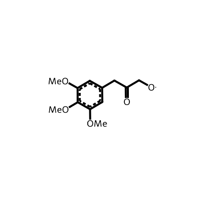 COc1cc(CC(=O)C[O])cc(OC)c1OC